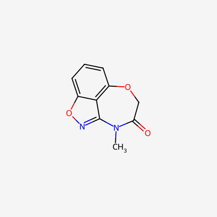 CN1C(=O)COc2cccc3onc1c23